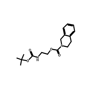 CC(C)(C)OC(=O)NCCOC(=O)N1CCc2ccccc2C1